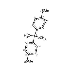 CSc1ccc(C(C)(C)c2ccc(SC)cc2)cc1